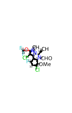 C#CCN(C=O)c1c(OC)c(Cl)cc(F)c1-c1nn(C)c(OC(F)F)c1Cl